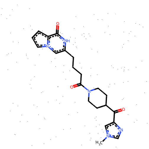 Cn1cnc(C(=O)C2CCN(C(=O)CCCc3cn4cccc4c(=O)[nH]3)CC2)c1